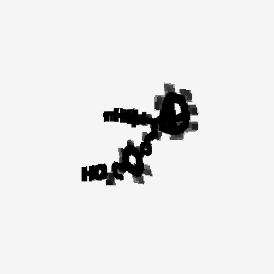 CCCCCCCC(CCOc1ccc(C(=O)O)cc1)C12CC3CC(CC(C3)C1)C2.Cl